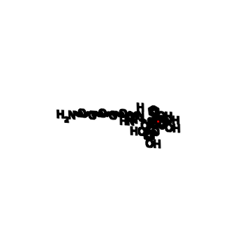 N=N/C(=C\NCCOC1c2c(O)cc(O)cc2OC(c2cc(O)c(O)c(O)c2)C1OC(=O)c1ccccc1)CCOCCOCCOCCOCCOCCN